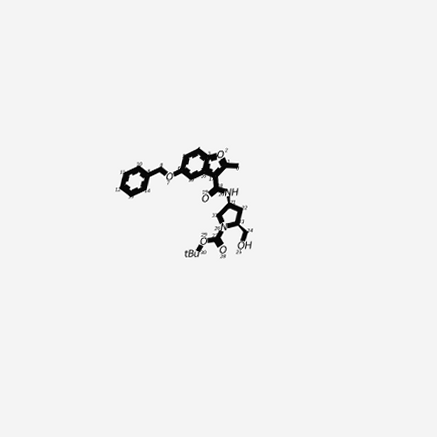 Cc1oc2ccc(OCc3ccccc3)cc2c1C(=O)N[C@H]1C[C@@H](CO)N(C(=O)OC(C)(C)C)C1